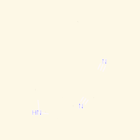 N#CC#N.c1ccc(CC2CCNCC2)cc1